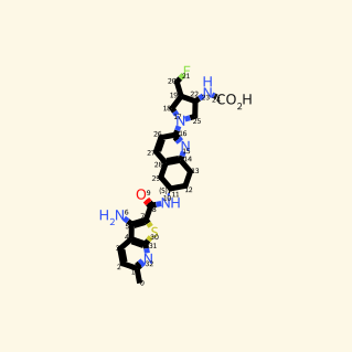 Cc1ccc2c(N)c(C(=O)N[C@H]3CCc4nc(N5CC(CF)C(NC(=O)O)C5)ccc4C3)sc2n1